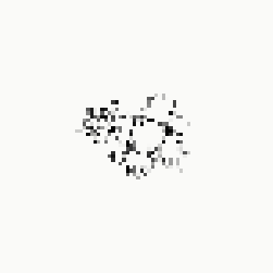 C=CC1=C(C)c2cc3[nH]c(cc4nc(cc5[nH]c(cc1n2)c(C)c5CCC(=O)N[C@@H](CC(=O)O)C(=O)O)C(CCC(=O)OC)C4CCCC)c(C)c3C=C